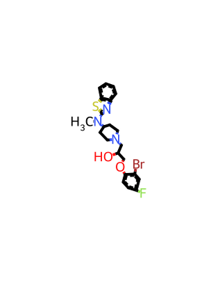 CN(c1nc2ccccc2s1)C1CCN(CC(O)COc2ccc(F)cc2Br)CC1